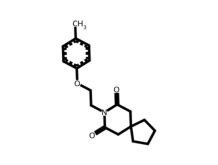 Cc1ccc(OCCN2C(=O)CC3(CCCC3)CC2=O)cc1